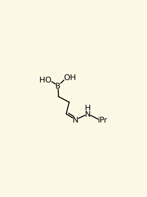 CC(C)N/N=C\CCB(O)O